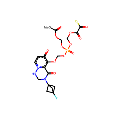 COC(=O)OCOP(=O)(OCOC(=O)C(=O)S)OCOc1c2n(ccc1=O)NCN(C13CC(F)(C1)C3)C2=O